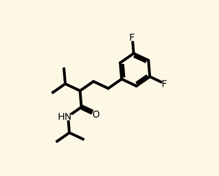 CC(C)NC(=O)C(CCc1cc(F)cc(F)c1)C(C)C